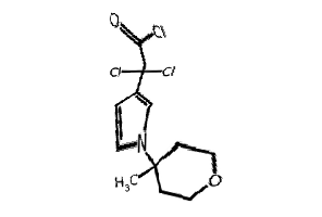 CC1(n2ccc(C(Cl)(Cl)C(=O)Cl)c2)CCOCC1